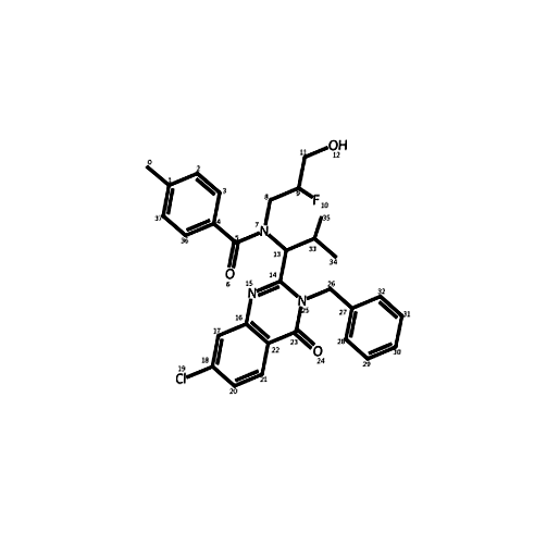 Cc1ccc(C(=O)N(CC(F)CO)C(c2nc3cc(Cl)ccc3c(=O)n2Cc2ccccc2)C(C)C)cc1